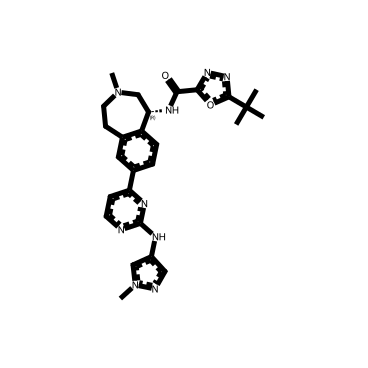 CN1CCc2cc(-c3ccnc(Nc4cnn(C)c4)n3)ccc2[C@@H](NC(=O)c2nnc(C(C)(C)C)o2)C1